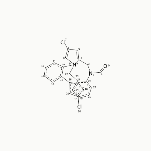 O=CN1CC2=CC(Cl)=C[N+]2(c2ccccc2-c2csc(Cl)c2)Cc2ccccc21